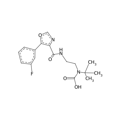 CC(C)(C)N(CCNC(=O)c1ncoc1-c1cccc(F)c1)C(=O)O